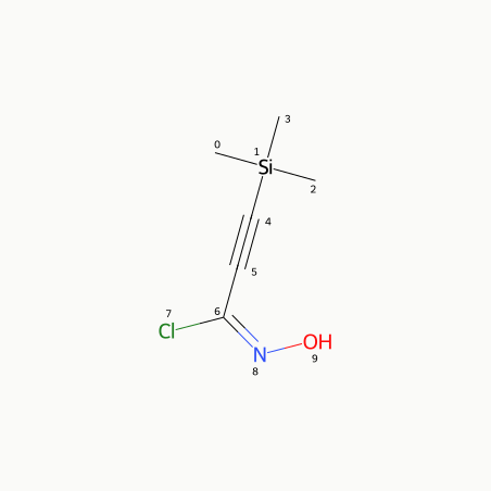 C[Si](C)(C)C#C/C(Cl)=N\O